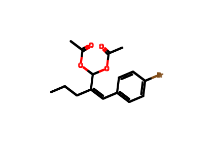 CCCC(=Cc1ccc(Br)cc1)C(OC(C)=O)OC(C)=O